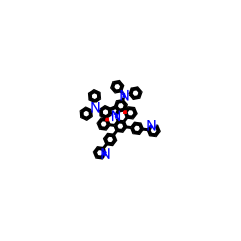 c1ccc(-c2c(-c3ccc(-c4ccccn4)cc3)cc(-c3ccc(-c4ccccn4)cc3)c(-c3ccccc3)c2-n2c3ccc(N(c4ccccc4)c4ccccc4)cc3c3cc(N(c4ccccc4)c4ccccc4)ccc32)cc1